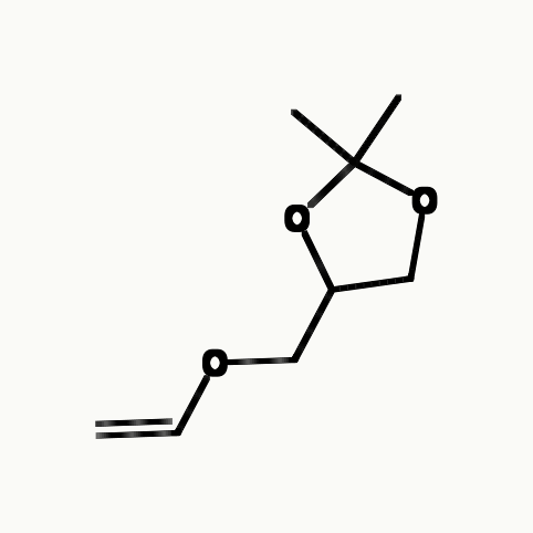 C=COCC1COC(C)(C)O1